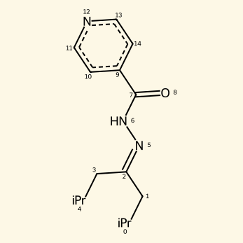 CC(C)CC(CC(C)C)=NNC(=O)c1ccncc1